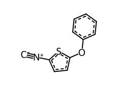 [C-]#[N+]c1ccc(Oc2ccccc2)s1